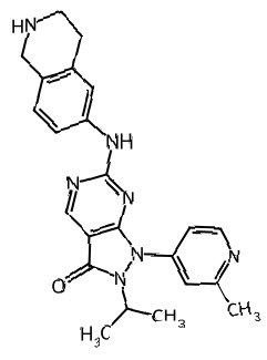 Cc1cc(-n2c3nc(Nc4ccc5c(c4)CCNC5)ncc3c(=O)n2C(C)C)ccn1